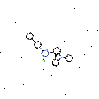 Clc1nc(-c2ccc(-c3ccccc3)cc2)nc(-c2cccc3c2c2ccccc2n3-c2ccccc2)n1